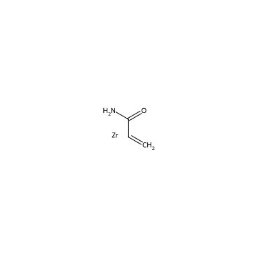 C=CC(N)=O.[Zr]